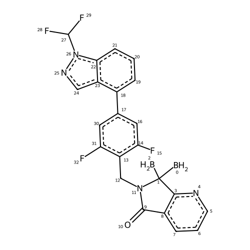 BC1(B)c2ncccc2C(=O)N1Cc1c(F)cc(-c2cccc3c2cnn3C(F)F)cc1F